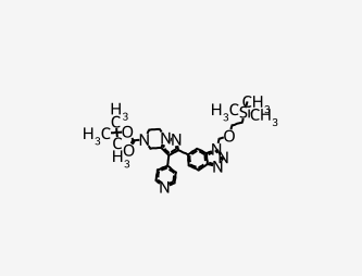 CC(C)(C)OC(=O)N1CCn2nc(-c3ccc4nnn(COCC[Si](C)(C)C)c4c3)c(-c3ccncc3)c2C1